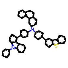 c1ccc(-n2c3ccccc3c3c(-c4ccc(N(c5ccc(-c6ccc7sc8ccccc8c7c6)cc5)c5ccc6ccc7ccccc7c6c5)cc4)cccc32)cc1